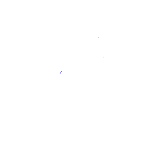 O=c1[nH]c(C2=C[C@@H](N3CC=C(c4ccc(F)cc4)CC3)CC2)nc2c1CC1(CC2)CC1